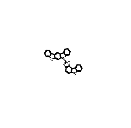 c1ccc2c(c1)oc1cc3c(cc12)c1ccccc1n3-c1nc2ccc3sc4ccccc4c3c2o1